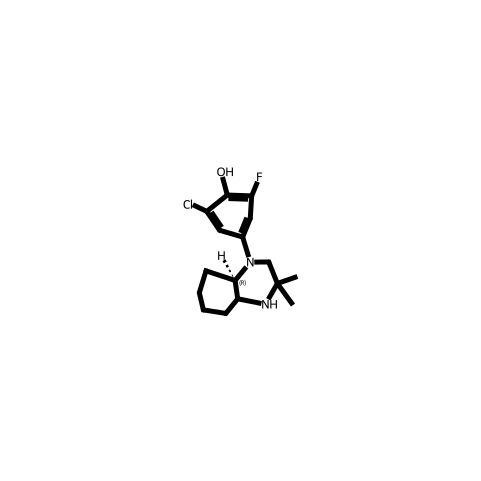 CC1(C)CN(c2cc(F)c(O)c(Cl)c2)[C@@H]2CCCCC2N1